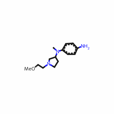 COCCN1CCC(N(C)c2ccc(N)cc2)C1